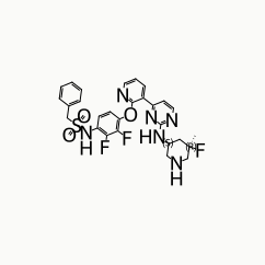 C[C@]1(F)CNC[C@@H](Nc2nccc(-c3cccnc3Oc3ccc(NS(=O)(=O)Cc4ccccc4)c(F)c3F)n2)C1